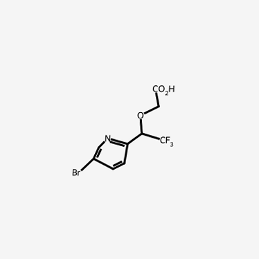 O=C(O)COC(c1ccc(Br)cn1)C(F)(F)F